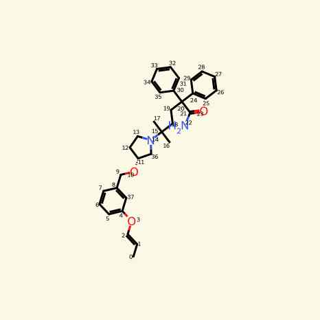 CC=COc1cccc(CO[C@@H]2CCN(C(C)(C)CCC(C(N)=O)(c3ccccc3)c3ccccc3)C2)c1